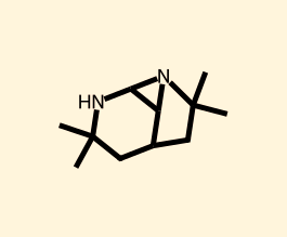 CC1(C)CC2CC(C)(C)N3C(N1)C23